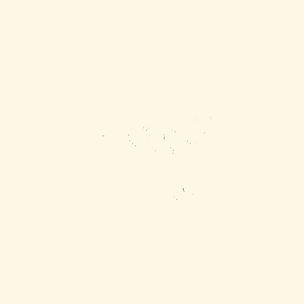 NC(=O)[C@H]1CC[C@@H](n2c(Nc3c(Cl)cc(Cl)cc3Cl)nc3cnc(N[C@@H]4CCC[C@@H](O)C4)nc32)CC1